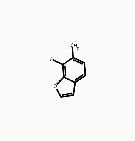 Cc1ccc2ccoc2c1F